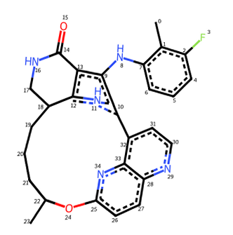 Cc1c(F)cccc1Nc1c2[nH]c3c1C(=O)NCC3CCCC(C)Oc1ccc3nccc-2c3n1